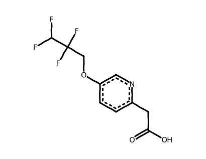 O=C(O)Cc1ccc(OCC(F)(F)C(F)F)cn1